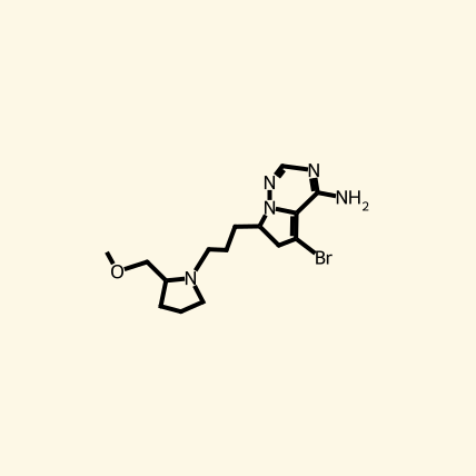 COCC1CCCN1CCCC1CC(Br)=C2C(N)=NC=NN21